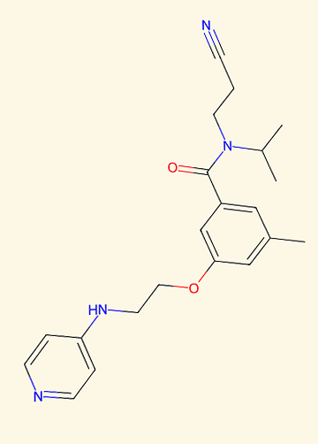 Cc1cc(OCCNc2ccncc2)cc(C(=O)N(CCC#N)C(C)C)c1